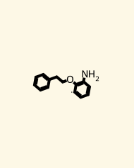 Nc1ccc[c]c1OCCc1ccccc1